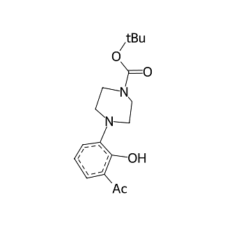 CC(=O)c1cccc(N2CCN(C(=O)OC(C)(C)C)CC2)c1O